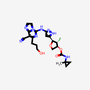 CC1(NC(=O)O[C@H]2CO[C@@H](c3cc(Nc4nc(CCCO)c(C#N)c5nccn45)n[nH]3)[C@@H]2F)CC1